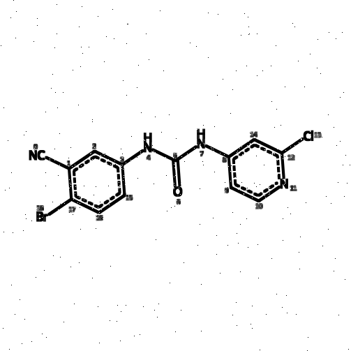 N#Cc1cc(NC(=O)Nc2ccnc(Cl)c2)ccc1Br